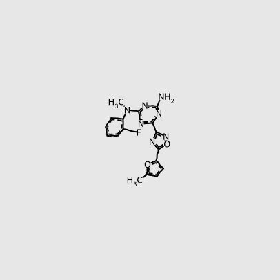 Cc1ccc(-c2nc(-c3nc(N)nc(N(C)c4ccccc4F)n3)no2)o1